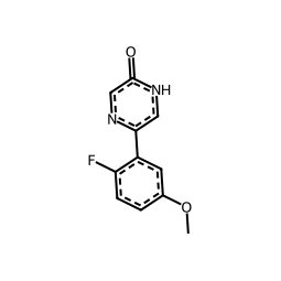 COc1ccc(F)c(-c2c[nH]c(=O)cn2)c1